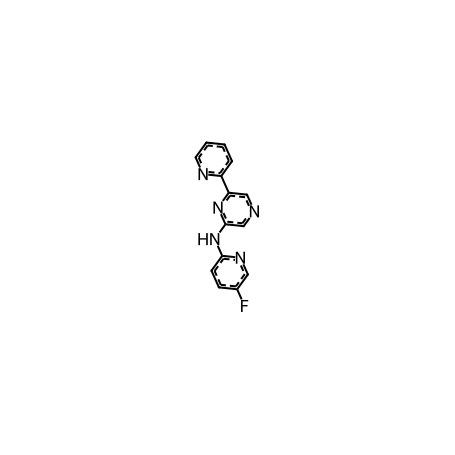 Fc1ccc(Nc2cncc(-c3ccccn3)n2)nc1